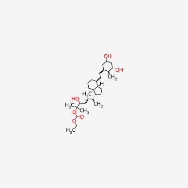 C=C(/C=C/[C@H](O)C(C)(C)OC(=O)OCC)[C@H]1CC[C@H]2/C(=C/C=C3/C[C@@H](O)C[C@H](O)C3=C)CCC[C@]12C